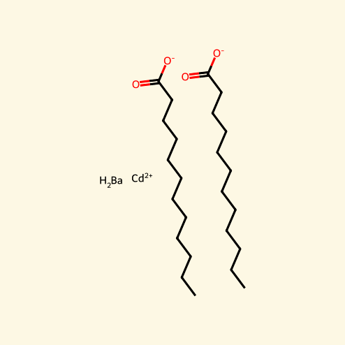 CCCCCCCCCCCC(=O)[O-].CCCCCCCCCCCC(=O)[O-].[BaH2].[Cd+2]